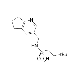 CC(C)(C)CC[C@H](NCc1cnc2c(c1)CCC2)C(=O)O